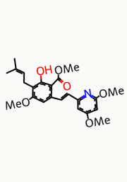 COC(=O)c1c(/C=C/c2cc(OC)cc(OC)n2)cc(OC)c(CC=C(C)C)c1O